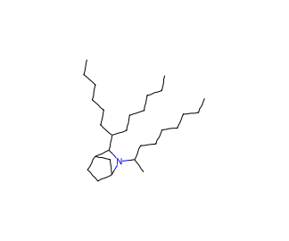 CCCCCCCC(C)N1C2CCC(C2)C1C(CCCCCC)CCCCCC